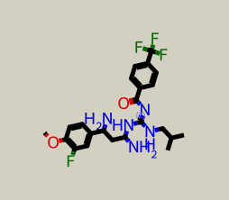 COc1ccc(C(N)CC(N)N/C(=N\C(=O)c2ccc(C(F)(F)F)cc2)NCC(C)C)cc1F